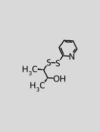 C[C@H](O)[C@@H](C)SSc1ccccn1